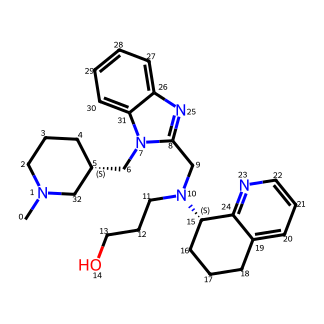 CN1CCC[C@H](Cn2c(CN(CCCO)[C@H]3CCCc4cccnc43)nc3ccccc32)C1